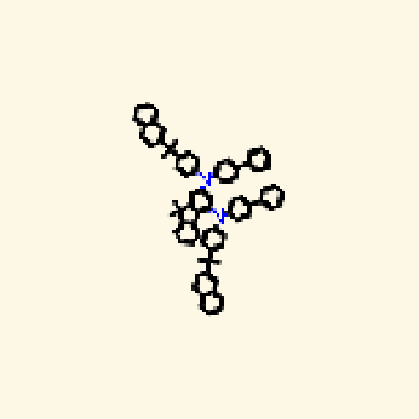 CC(C)(c1ccc(N(c2ccc(-c3ccccc3)cc2)c2cc(N(c3ccc(-c4ccccc4)cc3)c3ccc(C(C)(C)c4ccc5ccccc5c4)cc3)c3c(c2)C(C)(C)c2ccccc2-3)cc1)c1ccc2ccccc2c1